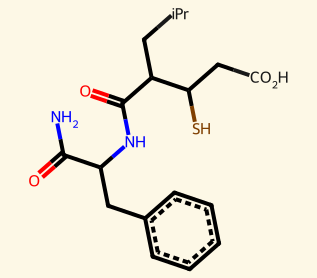 CC(C)CC(C(=O)NC(Cc1ccccc1)C(N)=O)C(S)CC(=O)O